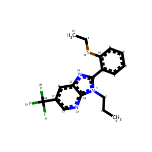 CCCn1c(-c2ccccc2SCC)nc2cc(C(F)(F)F)cnc21